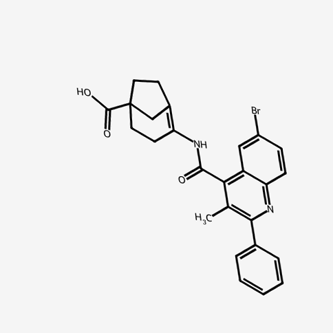 Cc1c(-c2ccccc2)nc2ccc(Br)cc2c1C(=O)NC1=C2CCC(C(=O)O)(CC1)C2